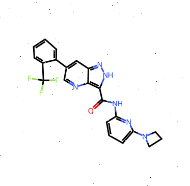 O=C(Nc1cccc(N2CCC2)n1)c1[nH]nc2cc(-c3ccccc3C(F)(F)F)cnc12